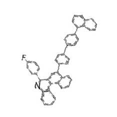 Fc1ccc(-c2nc3ccccc3c3c2cc(-c2ccc(-c4ccc(-c5cccc6ccccc56)cc4)cc2)c2ccccc23)cc1